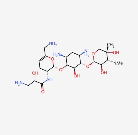 CN[C@@H]1[C@@H](O)[C@@H](O[C@H]2[C@H](N)C[C@H](N)C(O[C@H]3OC(CN)=CC[C@H]3NC(=O)[C@@H](O)CN)[C@@H]2O)OC[C@]1(C)O